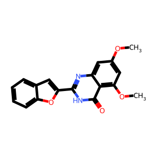 COc1cc(OC)c2c(=O)[nH]c(-c3cc4ccccc4o3)nc2c1